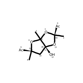 CC(=O)[C@]1(C)OC2(C)O[C@](C)(C(C)=O)C[C@@]2(O)O1